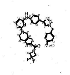 COc1ccc(Cn2cc(-c3ccc(Nc4ccnc(N5CCc6cc(C(=O)N7CC(F)(F)C7)sc6C5)n4)cc3)nn2)cc1